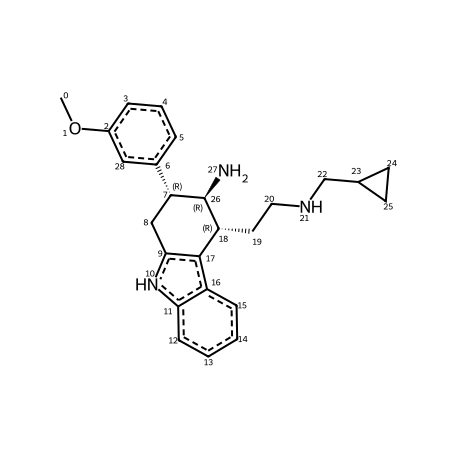 COc1cccc([C@H]2Cc3[nH]c4ccccc4c3[C@@H](CCNCC3CC3)[C@@H]2N)c1